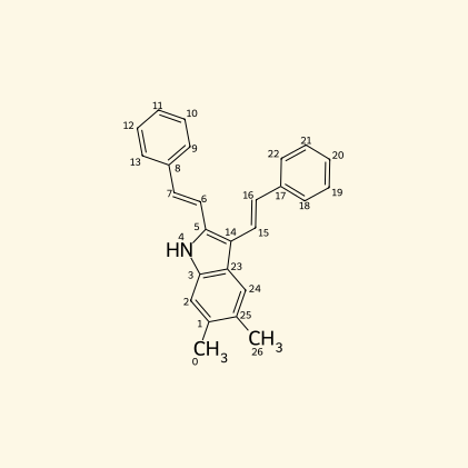 Cc1cc2[nH]c(/C=C/c3ccccc3)c(/C=C/c3ccccc3)c2cc1C